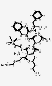 CC(=O)NCSC[C@H](N)C(=O)N(C(=O)OCCS(C)(=O)=O)[C@@H](CCCCN)C(=O)N[C@@H](CC(N)=O)C(=O)N[C@@H](Cc1ccccc1)C(=O)N[C@@H](Cc1ccccc1)C(=O)O